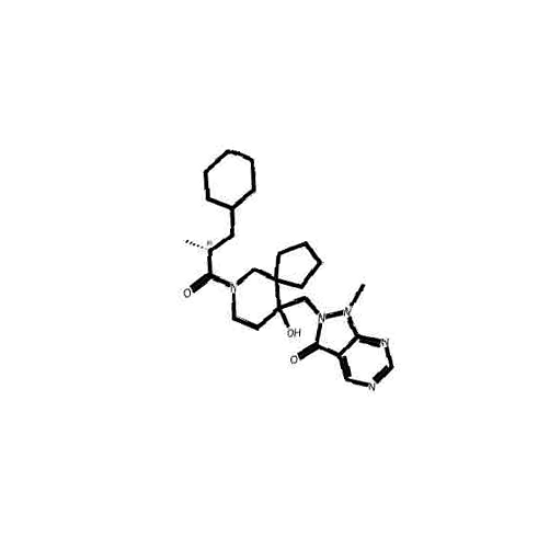 C[C@H](CC1CCCCC1)C(=O)N1CCC(O)(Cn2c(=O)c3cncnc3n2C)C2(CCCC2)C1